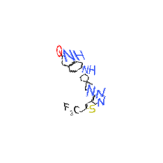 O=C1Cc2ccc(N[C@H]3CCC4(C3)CN(c3ncnc5sc(CC(F)(F)F)cc35)C4)cc2N1